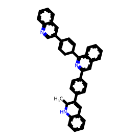 CC1Nc2ccccc2C=C1c1ccc(-c2cc3ccccc3c(C3C=CC(c4cnc5ccccc5c4)=CC3)n2)cc1